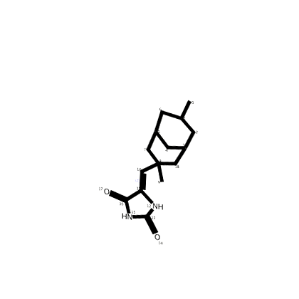 CC1CC2CC(C1)CC(C)(/C=C1\NC(=O)NC1=O)C2